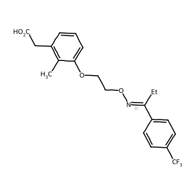 CC/C(=N\OCCOc1cccc(CC(=O)O)c1C)c1ccc(C(F)(F)F)cc1